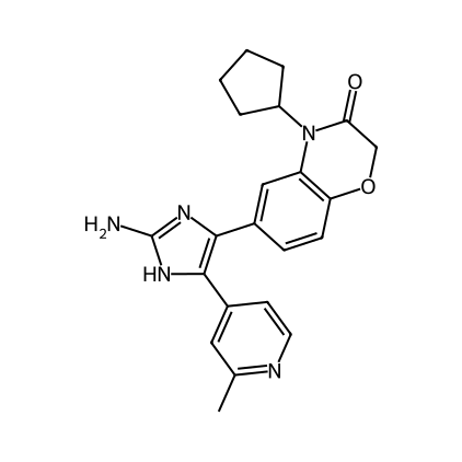 Cc1cc(-c2[nH]c(N)nc2-c2ccc3c(c2)N(C2CCCC2)C(=O)CO3)ccn1